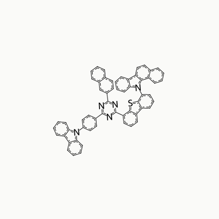 c1ccc2cc(-c3nc(-c4ccc(-n5c6ccccc6c6ccccc65)cc4)nc(-c4cccc5c4sc4c(-n6c7ccccc7c7ccc8ccccc8c76)cccc45)n3)ccc2c1